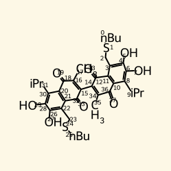 CCCCSCc1c(O)c(O)c(C(C)C)c2c1C(=O)C(C1=C(C)C(=O)c3c(c(CSCCCC)c(O)c(O)c3C(C)C)C1=O)=C(C)C2=O